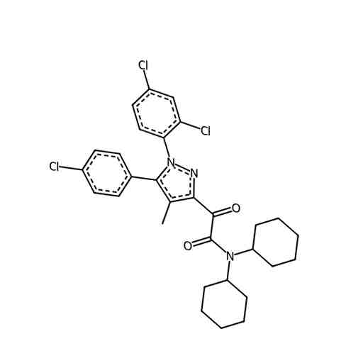 Cc1c(C(=O)C(=O)N(C2CCCCC2)C2CCCCC2)nn(-c2ccc(Cl)cc2Cl)c1-c1ccc(Cl)cc1